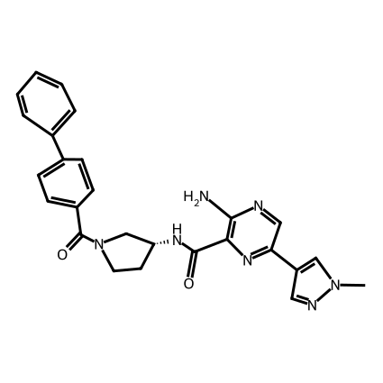 Cn1cc(-c2cnc(N)c(C(=O)N[C@@H]3CCN(C(=O)c4ccc(-c5ccccc5)cc4)C3)n2)cn1